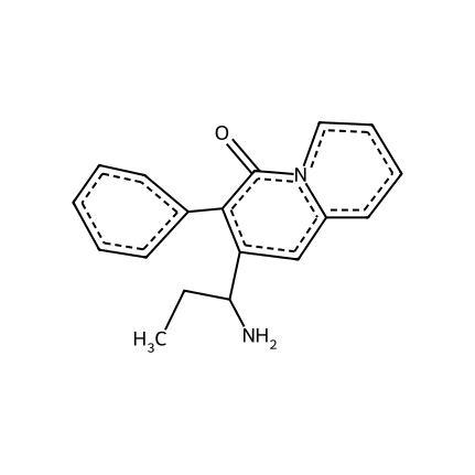 CCC(N)c1cc2ccccn2c(=O)c1-c1ccccc1